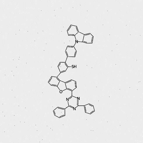 Sc1cc(-c2cccc3oc4c(-c5nc(-c6ccccc6)nc(-c6ccccc6)n5)cccc4c23)ccc1-c1ccc(-n2c3ccccc3c3ccccc32)cc1